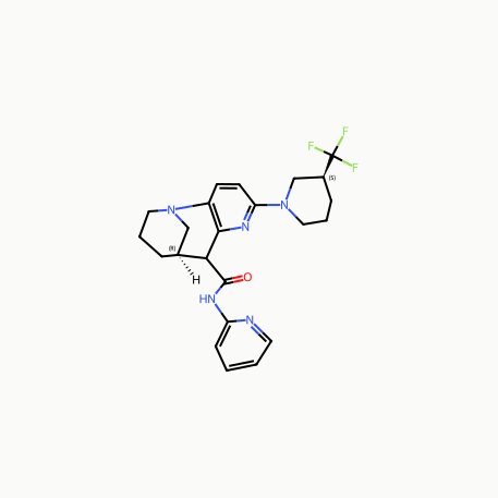 O=C(Nc1ccccn1)C1c2nc(N3CCC[C@H](C(F)(F)F)C3)ccc2N2CCC[C@H]1C2